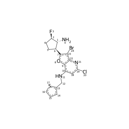 N[C@H]1[C@H](F)CC[C@@H]1c1oc2c(NCc3cccs3)cc(Cl)nc2c1Br